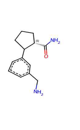 NCc1cccc(C2CCC[C@@H]2C(N)=O)c1